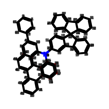 c1ccc(-c2cccc(N(c3ccc4c(c3)-c3ccccc3C43c4ccccc4-c4ccccc43)c3ccccc3-c3ccccc3-c3ccccc3-c3ccccc3)c2)cc1